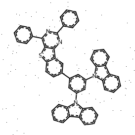 c1ccc(-c2nc(-c3ccccc3)c3sc4ccc(-c5cc(-n6c7ccccc7c7ccccc76)cc(-n6c7ccccc7c7ccccc76)c5)cc4c3n2)cc1